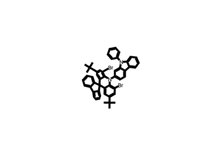 CC(C)(C)c1cc(Br)c2c(c1)C1(c3ccccc3-c3ccccc31)c1cc(C(C)(C)C)cc(Br)c1N2c1ccc2c3ccccc3n(-c3ccccc3)c2c1